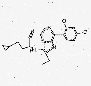 CCc1nc2c(-c3ccc(Cl)cc3Cl)nccn2c1NC(C#N)CCC1CC1